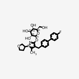 Cc1c(Cc2ccc(-c3ccc(F)cc3)cc2)c(O[C@@H]2O[C@H](CO)[C@@H](O)[C@H](O)[C@H]2O)nn1C1CCOC1